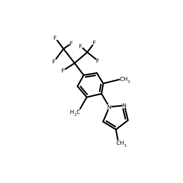 Cc1cnn(-c2c(C)cc(C(F)(C(F)(F)F)C(F)(F)F)cc2C)c1